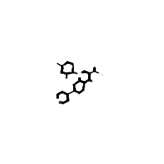 NC(=O)c1cn(-c2ccc(F)cc2F)c2cc(-c3ccncc3)ccc2c1=O